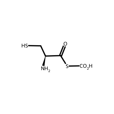 N[C@@H](CS)C(=O)SC(=O)O